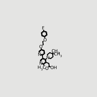 Cc1ncc(-c2ccc(OCCOc3ccc(F)cc3)cn2)c(N2CCC(C)(C)CC2)c1CC(=O)O